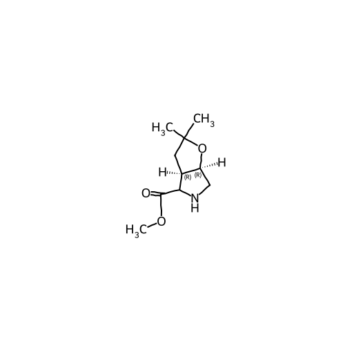 COC(=O)C1NC[C@@H]2OC(C)(C)C[C@H]12